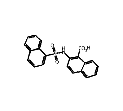 O=C(O)c1c(NS(=O)(=O)c2cccc3ccccc23)ccc2ccccc12